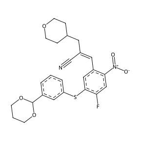 N#CC(=Cc1cc(Sc2cccc(C3OCCCO3)c2)c(F)cc1[N+](=O)[O-])CC1CCOCC1